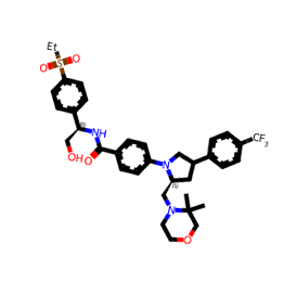 CCS(=O)(=O)c1ccc([C@H](CO)NC(=O)c2ccc(N3CC(c4ccc(C(F)(F)F)cc4)C[C@H]3CN3CCOCC3(C)C)cc2)cc1